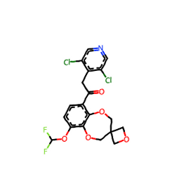 O=C(Cc1c(Cl)cncc1Cl)c1ccc(OC(F)F)c2c1OCC1(COC1)CO2